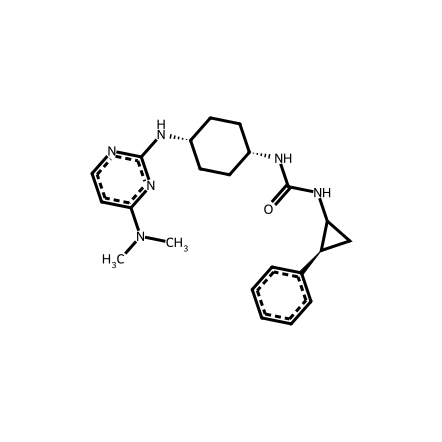 CN(C)c1ccnc(N[C@H]2CC[C@@H](NC(=O)NC3C[C@H]3c3ccccc3)CC2)n1